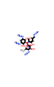 CC1O[C@@H](O[C@H]2C(O[C@H]3OC(CN=[N+]=[N-])C=CC3N=[N+]=[N-])C(N=[N+]=[N-])C[C@@H](N=[N+]=[N-])C2O)C(O)[C@@H](O)[C@@H]1N=[N+]=[N-]